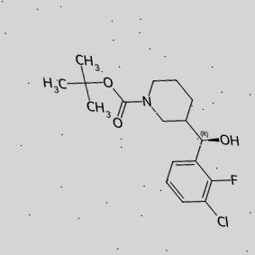 CC(C)(C)OC(=O)N1CCCC([C@@H](O)c2cccc(Cl)c2F)C1